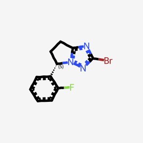 Fc1ccccc1[C@@H]1CCc2nc(Br)nn21